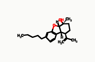 C=C(C)[C@@H]1CC[C@](C)(O)[C@H]2Oc3cc(CCCCC)ccc3[C@@H]12